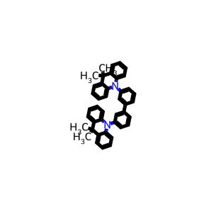 CC1(C)c2ccccc2N(c2cccc(-c3cccc(N4c5ccccc5C(C)(C)c5ccccc54)c3)c2)c2ccccc21